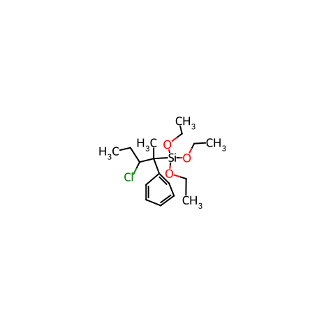 CCO[Si](OCC)(OCC)C(C)(c1ccccc1)C(Cl)CC